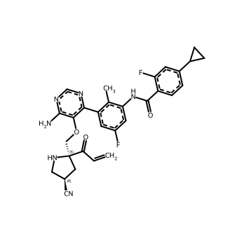 C=CC(=O)[C@@]1(COc2c(N)ncnc2-c2cc(F)cc(NC(=O)c3ccc(C4CC4)cc3F)c2C)C[C@@H](C#N)CN1